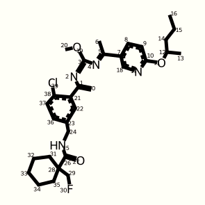 C=C(/N=C(\N=C(/C)c1ccc(OC(C)CCC)nc1)OC)c1cc(CNC(=O)C2(CF)CCCCC2)ccc1Cl